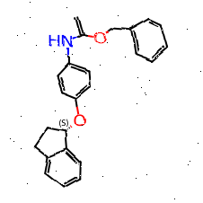 C=C(Nc1ccc(O[C@H]2CCc3ccccc32)cc1)OCc1ccccc1